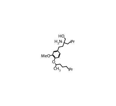 COc1cc(CC[C@@](N)(CO)CC(C)C)ccc1OC(C)CCCC(C)C